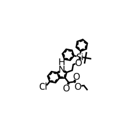 CCOC(=O)C(=O)c1c(CCO[Si](c2ccccc2)(c2ccccc2)C(C)(C)C)[nH]c2ccc(Cl)cc12